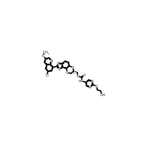 COc1cnc2c(-c3nc4ccc5c(c4s3)OC[C@H](COC(=O)Nc3cnc(OCCO)nc3)O5)cc(Cl)cc2c1